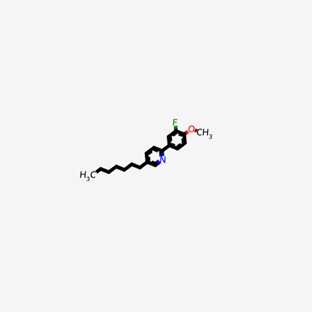 CCCCCCCc1ccc(-c2ccc(OC)c(F)c2)nc1